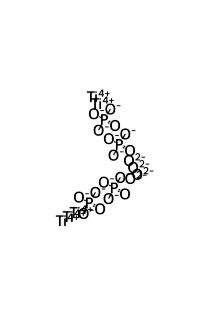 O=P([O-])([O-])[O-].O=P([O-])([O-])[O-].O=P([O-])([O-])[O-].O=P([O-])([O-])[O-].[O-2].[O-2].[O-2].[O-2].[Ti+4].[Ti+4].[Ti+4].[Ti+4].[Ti+4]